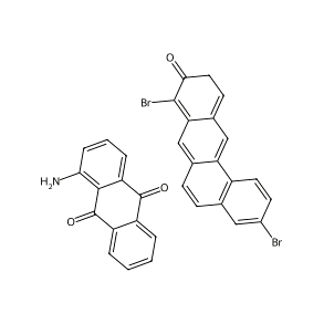 Nc1cccc2c1C(=O)c1ccccc1C2=O.O=C1CC=c2cc3c(ccc4cc(Br)ccc43)cc2=C1Br